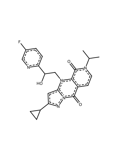 CC(C)n1ccc2c(=O)n3nc(C4CC4)cc3n(CC(O)c3ccc(F)cn3)c2c1=O